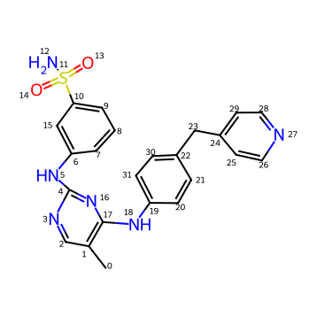 Cc1cnc(Nc2cccc(S(N)(=O)=O)c2)nc1Nc1ccc(Cc2ccncc2)cc1